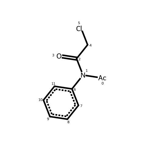 CC(=O)N(C(=O)CCl)c1ccccc1